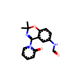 CC1(C)N=C(n2ccccc2=O)c2cc(NC=O)ccc2O1